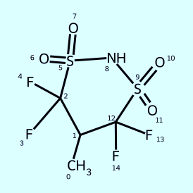 CC1C(F)(F)S(=O)(=O)NS(=O)(=O)C1(F)F